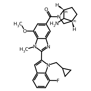 COc1cc(C(=O)N2C[C@H]3CC[C@@H]2C3N)cc2nc(-c3cc4cccc(F)c4n3CC3CC3)n(C)c12